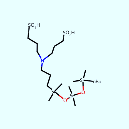 CCCC[Si](C)(C)O[Si](C)(C)O[Si](C)(C)CCCN(CCCS(=O)(=O)O)CCCS(=O)(=O)O